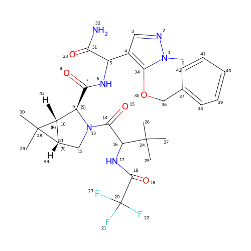 Cn1ncc(C(NC(=O)[C@@H]2[C@@H]3[C@H](CN2C(=O)C(NC(=O)C(F)(F)F)C(C)(C)C)C3(C)C)C(N)=O)c1OCc1ccccc1